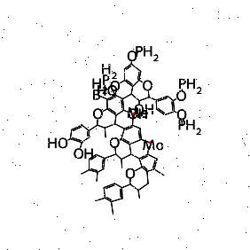 Bc1c(O)c(C2c3c(OP)cc(OP)cc3OC(c3ccc(OP)c(OP)c3)C2O)c(O)c2c1OC(c1ccc(O)c(O)c1)C(C)C2c1[c]([Mo])cc(C)c2c1OC(c1ccc(C)c(C)c1)C(C)C2c1[c]([Mo])cc(C)c2c1OC(c1ccc(C)c(C)c1)C(C)C2